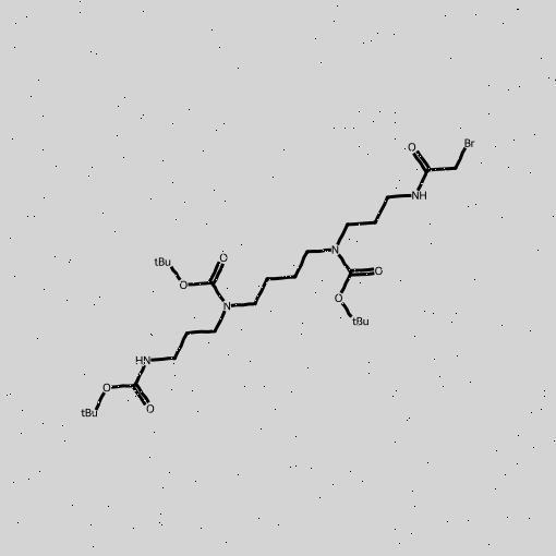 CC(C)(C)OC(=O)NCCCN(CCCCN(CCCNC(=O)CBr)C(=O)OC(C)(C)C)C(=O)OC(C)(C)C